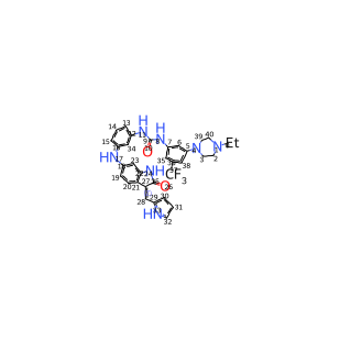 CCN1CCN(c2cc(NC(=O)Nc3cccc(Nc4ccc5c(c4)NC(=O)/C5=C\c4ccc[nH]4)c3)cc(C(F)(F)F)c2)CC1